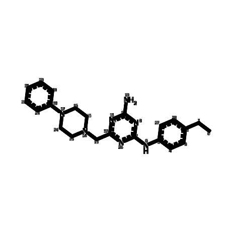 CCc1ccc(Nc2nc(N)nc(CN3CCN(c4ccccc4)CC3)n2)cc1